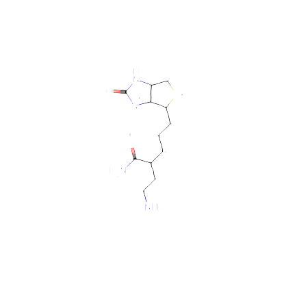 NCCC(CCCC1SCC2NC(=O)NC21)C(N)=O